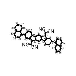 N#CC(C#N)=C1C2=C(C=CC(c3cccc4ccccc34)C2)c2cc3c(cc21)-c1ccc(-c2cccc4ccccc24)cc1C3C(C#N)C#N